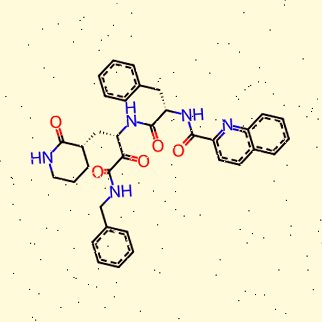 O=C(NCc1ccccc1)C(=O)[C@H](C[C@@H]1CCCNC1=O)NC(=O)[C@H](Cc1ccccc1)NC(=O)c1ccc2ccccc2n1